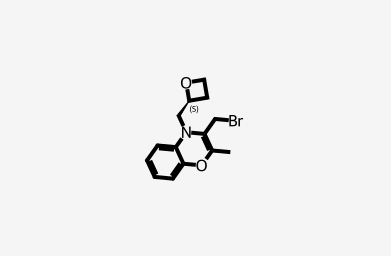 CC1=C(CBr)N(C[C@@H]2CCO2)c2ccccc2O1